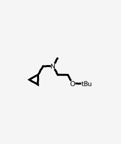 CN(CCOC(C)(C)C)CC1CC1